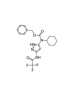 O=C(OCc1ccccc1)N(c1cc(NC(=O)C(F)(F)F)n[nH]1)C1CCCCC1